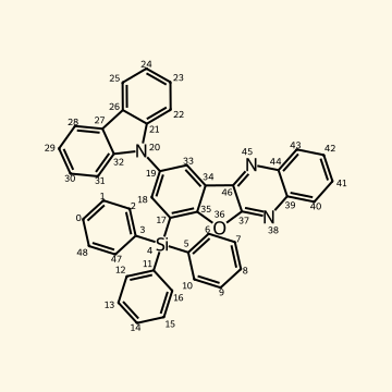 c1ccc([Si](c2ccccc2)(c2ccccc2)c2cc(-n3c4ccccc4c4ccccc43)cc3c2oc2nc4ccccc4nc23)cc1